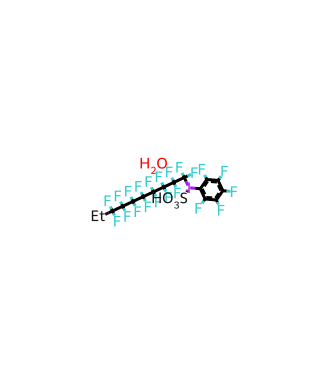 CCC(F)(F)C(F)(F)C(F)(F)C(F)(F)C(F)(F)C(F)(F)C(F)(F)C(F)(F)I(c1c(F)c(F)c(F)c(F)c1F)S(=O)(=O)O.O